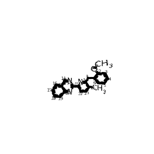 COc1ccccc1Cc1nc(-c2ncc3ccccc3n2)ccc1C